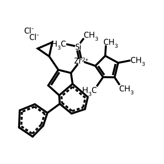 CC1=C(C)C(C)[C]([Zr+2]([CH]2C(C3CC3)=Cc3c(-c4ccccc4)cccc32)=[Si](C)C)=C1C.[Cl-].[Cl-]